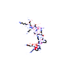 C[C@H](NC(=O)[C@H](CO)NC(=O)[C@@H](NC(=O)[C@H](CCCCN)NC(=O)[C@H](CCC(N)=O)NC(=O)[C@@H](N)CCCCN)[C@@H](C)O)C(=O)NCC(=O)N[C@@H](CCCNC(=N)N)C(=O)NCC(=O)N1CCCC[C@H]1C(=O)N[C@@H](CCCCN)C(=O)N[C@@H](Cc1c[nH]c2ccccc12)C(=O)N[C@@H](CCCCN)C(=O)N[C@@H](CCCCN)C(=O)O